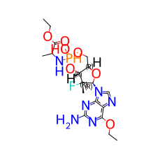 CCOC(=O)C(C)N[PH]1(O)OC[C@H]2O[C@@H](n3cnc4c(OCC)nc(N)nc43)[C@](C)(F)[C@@H]2O1